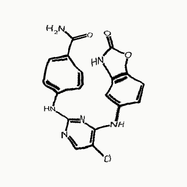 NC(=O)c1ccc(Nc2ncc(Cl)c(Nc3ccc4oc(=O)[nH]c4c3)n2)cc1